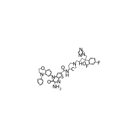 Nc1nc2sc(C(=O)NC3CCN(CCCC(O)(Cn4cncn4)c4ccc(F)cc4F)CC3)cc2n(-c2ccc3c(c2)N(c2ccccc2)CCO3)c1=O